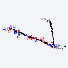 NC(=O)[C@@H](CCCCNC(=O)[C@@H](N)CCCCNC(=O)COCCOCCNC(=O)COCCOCCNC(=O)[C@H](CS(=O)(=O)O)NC(=O)CCCCCCCCCCCCCCCS(=O)(=O)O)NI